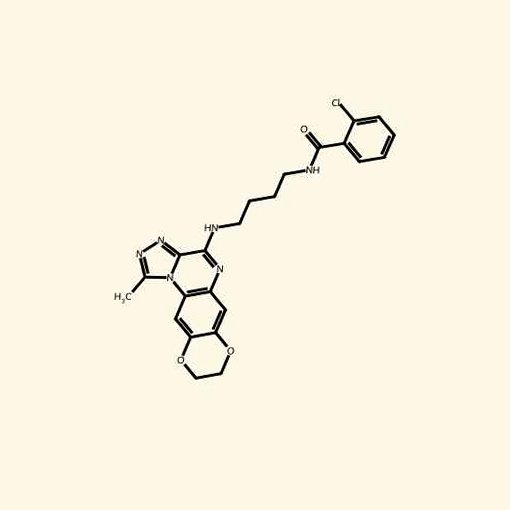 Cc1nnc2c(NCCCCNC(=O)c3ccccc3Cl)nc3cc4c(cc3n12)OCCO4